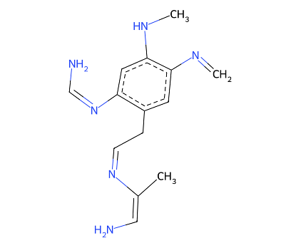 C=Nc1cc(C/C=N\C(C)=C/N)c(/N=C\N)cc1NC